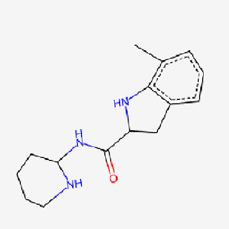 Cc1cccc2c1NC(C(=O)NC1CCCCN1)C2